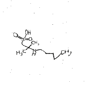 CCCCCNC(C)(C)CS(=O)(=O)O